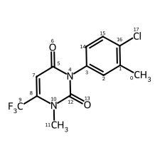 Cc1cc(-n2c(=O)cc(C(F)(F)F)n(C)c2=O)ccc1Cl